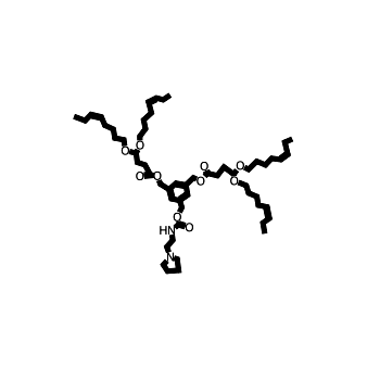 CC/C=C\CCCCOC(CCC(=O)OCc1cc(COC(=O)CCC(OCCCC/C=C\CC)OCCCC/C=C\CC)cc(COC(=O)NCCN2CCCC2)c1)OCCCC/C=C\CC